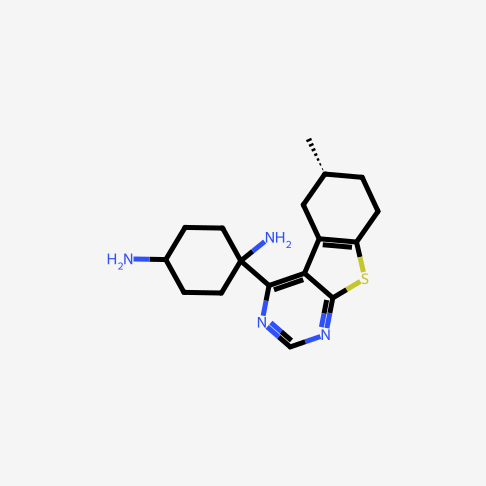 C[C@@H]1CCc2sc3ncnc(C4(N)CCC(N)CC4)c3c2C1